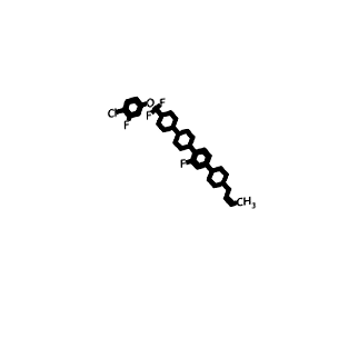 C/C=C\CC1CCC(c2ccc(C3CCC(C4CCC(C(F)(F)Oc5ccc(Cl)c(F)c5)CC4)CC3)c(F)c2)CC1